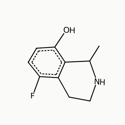 CC1NCCc2c(F)ccc(O)c21